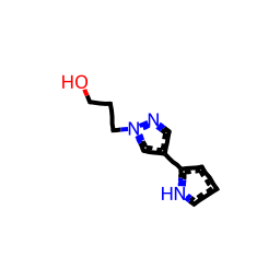 OCCCn1cc(-c2ccc[nH]2)cn1